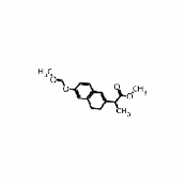 COCOc1ccc2c(c1)CCC(C(C)C(=O)OC)=C2